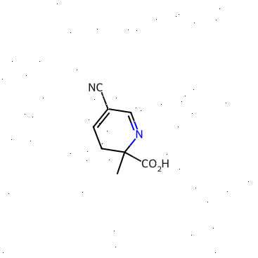 CC1(C(=O)O)CC=C(C#N)C=N1